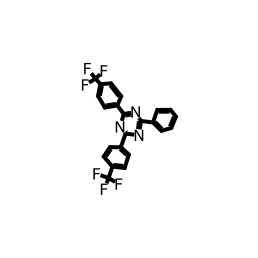 FC(F)(F)c1ccc(-c2nc(-c3ccccc3)nc(-c3ccc(C(F)(F)F)cc3)n2)cc1